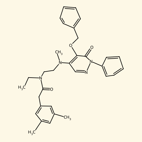 CCN(CCN(C)c1cnn(-c2ccccc2)c(=O)c1OCc1ccccc1)C(=O)Cc1cc(C)cc(C)c1